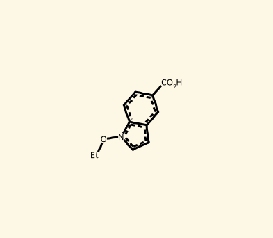 CCOn1ccc2cc(C(=O)O)ccc21